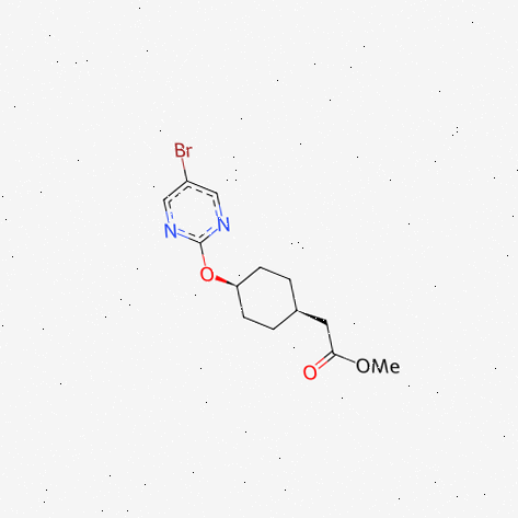 COC(=O)C[C@H]1CC[C@@H](Oc2ncc(Br)cn2)CC1